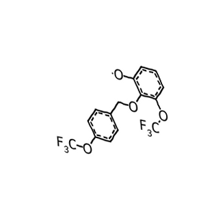 [O]c1cccc(OC(F)(F)F)c1OCc1ccc(OC(F)(F)F)cc1